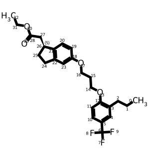 CCCc1cc(C(F)(F)F)ccc1OCCCOc1ccc2c(c1)CC[C@H]2CC(=O)OCC